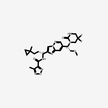 COC[C@H](c1cnn2cc([C@@H](CCC3(C)CC3)NC(=O)c3nonc3C)nc2c1)N1CC(F)(F)CNC1=O